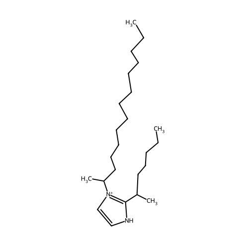 CCCCCCCCCCCCC(C)[n+]1cc[nH]c1C(C)CCCCC